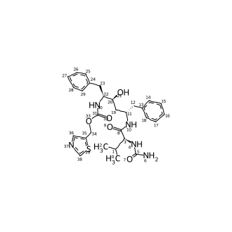 CC(C)[C@H](NC(N)=O)C(=O)N[C@@H](Cc1ccccc1)C[C@H](O)[C@H](Cc1ccccc1)NC(=O)OCc1cncs1